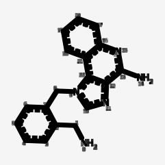 NCc1ccccc1Cn1cnc2c(N)nc3ccccc3c21